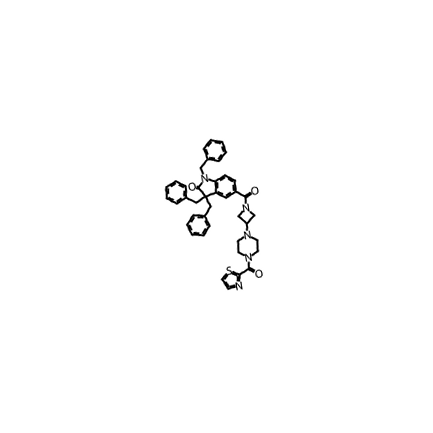 O=C(c1ccc2c(c1)C(Cc1ccccc1)(Cc1ccccc1)C(=O)N2Cc1ccccc1)N1CC(N2CCN(C(=O)c3nccs3)CC2)C1